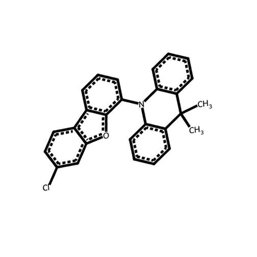 CC1(C)c2ccccc2N(c2cccc3c2oc2cc(Cl)ccc23)c2ccccc21